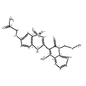 CC(C)CCn1c(=O)c(C2=NS(=O)(=O)c3cc(OCC(N)=O)ccc3N2)c(O)c2cccnc21